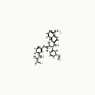 CCOc1cccc(C(Nc2ccc3c(N)nccc3c2)C(=O)NCc2cccc(NC(=O)N(C)I)c2)c1